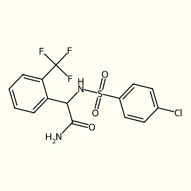 NC(=O)C(NS(=O)(=O)c1ccc(Cl)cc1)c1ccccc1C(F)(F)F